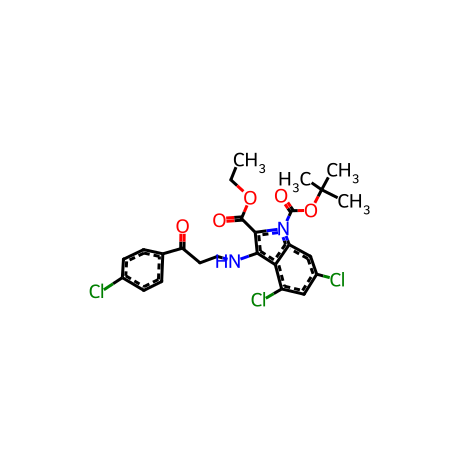 CCOC(=O)c1c(NCCC(=O)c2ccc(Cl)cc2)c2c(Cl)cc(Cl)cc2n1C(=O)OC(C)(C)C